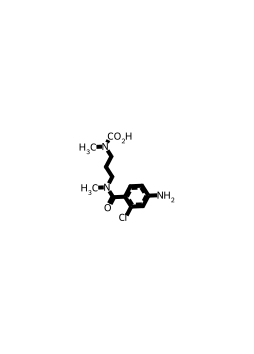 CN(CCCN(C)C(=O)c1ccc(N)cc1Cl)C(=O)O